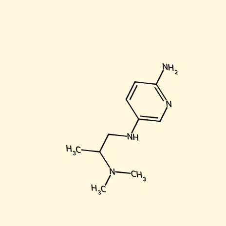 CC(CNc1ccc(N)nc1)N(C)C